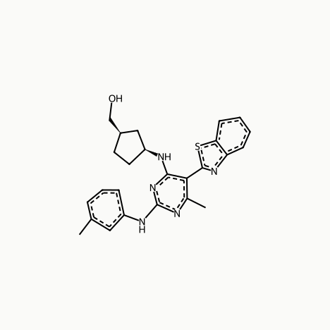 Cc1cccc(Nc2nc(C)c(-c3nc4ccccc4s3)c(N[C@H]3CC[C@@H](CO)C3)n2)c1